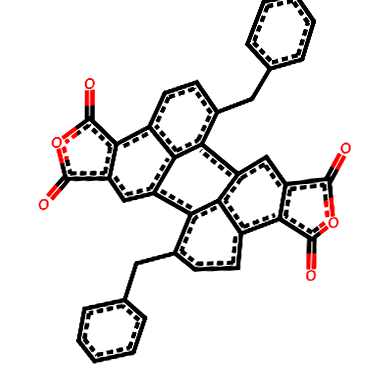 O=c1oc(=O)c2c1cc1c3c(Cc4ccccc4)ccc4c5c(=O)oc(=O)c5cc(c5c(Cc6ccccc6)ccc2c15)c43